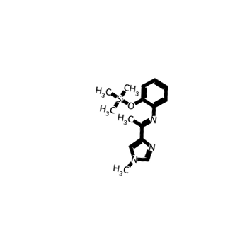 CC(=Nc1ccccc1O[Si](C)(C)C)c1cn(C)cn1